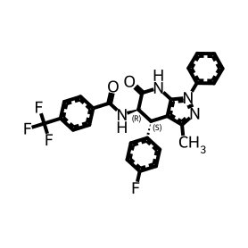 Cc1nn(-c2ccccc2)c2c1[C@H](c1ccc(F)cc1)[C@@H](NC(=O)c1ccc(C(F)(F)F)cc1)C(=O)N2